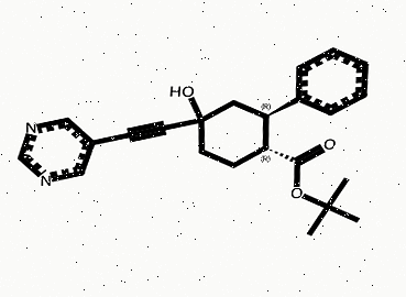 CC(C)(C)OC(=O)[C@@H]1CCC(O)(C#Cc2cncnc2)C[C@H]1c1ccccc1